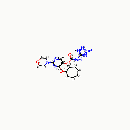 O=C(Nc1nn[nH]n1)Oc1cnc(N2CCOCC2)nc1OC1CCCCCC1